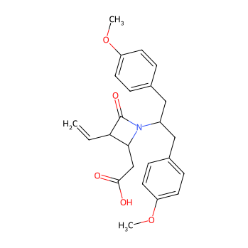 C=CC1C(=O)N(C(Cc2ccc(OC)cc2)Cc2ccc(OC)cc2)C1CC(=O)O